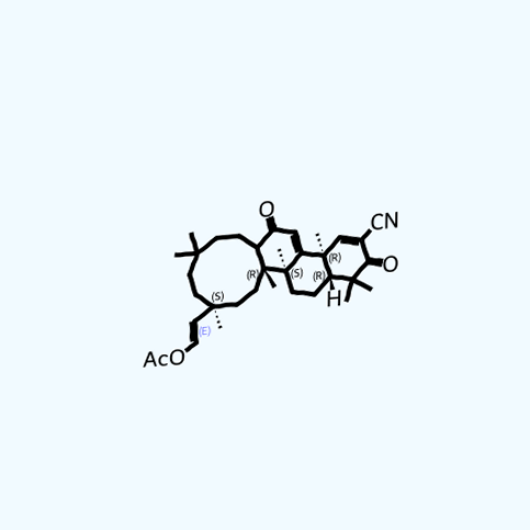 CC(=O)O/C=C/[C@@]1(C)CCC(C)(C)CCC2C(=O)C=C3[C@@]4(C)C=C(C#N)C(=O)C(C)(C)[C@@H]4CC[C@@]3(C)[C@]2(C)CC1